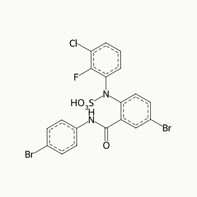 O=C(Nc1ccc(Br)cc1)c1cc(Br)ccc1N(c1cccc(Cl)c1F)S(=O)(=O)O